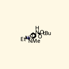 CC/N=C(\NC)N1CCC(NC(=O)OC(C)(C)C)CC1